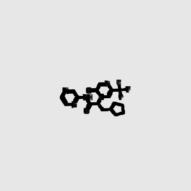 O=C(Nc1cnccn1)[C@H](CC1CCCC1)n1cc(C(F)(F)F)ncc1=O